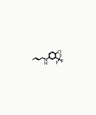 C/C=C/CNc1ccc(Cl)c(C(F)(F)F)c1